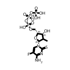 CC1[C@@H](O)[C@@H](COP(=O)(O)OP(=O)(O)OP(=O)(O)O)O[C@H]1n1cc(F)c(N)nc1=S